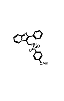 COc1ccc(S(=O)(=O)NCc2c(-c3ccccc3)nc3ccccn23)cc1